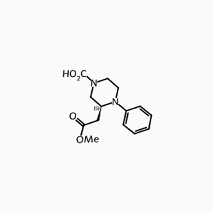 COC(=O)C[C@H]1CN(C(=O)O)CCN1c1ccccc1